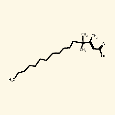 CCCCCCCCCCCCC(C)(C)/C(C)=C/C(=O)O